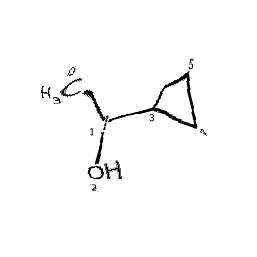 CI(O)C1CC1